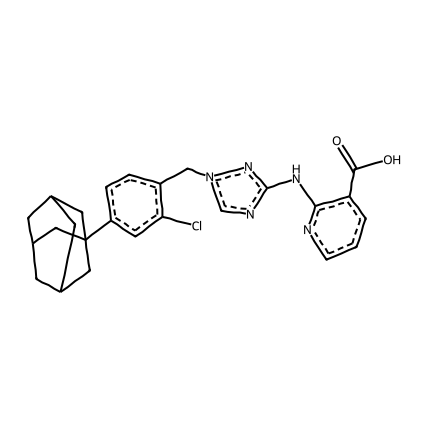 O=C(O)c1cccnc1Nc1ncn(Cc2ccc(C34CC5CC(CC(C5)C3)C4)cc2Cl)n1